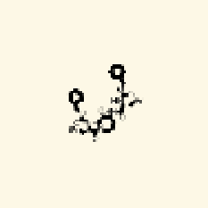 CC(C)C[C@H](NC(=O)OCc1ccccc1)C(=O)NC1CCCN(C(=O)[C@H](CC(C)C)NC(=O)OCc2ccccc2)CC1O